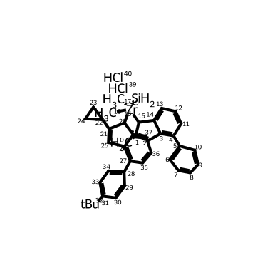 CC1=Cc2c(-c3ccccc3)cccc2[CH]1[Zr]([CH3])([CH3])(=[SiH2])[CH]1C(C2CC2)=Cc2c(-c3ccc(C(C)(C)C)cc3)cccc21.Cl.Cl